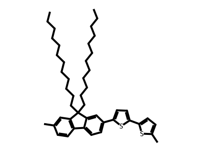 CCCCCCCCCCCCC1(CCCCCCCCCCCC)c2cc(C)ccc2-c2ccc(-c3ccc(-c4ccc(C)s4)s3)cc21